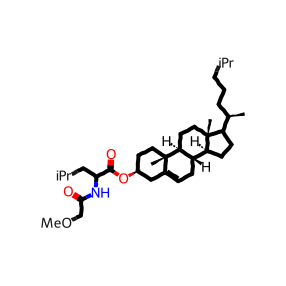 COCC(=O)NC(CC(C)C)C(=O)O[C@H]1CC[C@@]2(C)C(=CC[C@@H]3[C@@H]2CC[C@]2(C)C([C@H](C)CCCC(C)C)CC[C@@H]32)C1